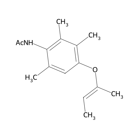 CC=C(C)Oc1cc(C)c(NC(C)=O)c(C)c1C